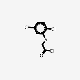 O=C(Cl)CSc1cc(Cl)ccc1Cl